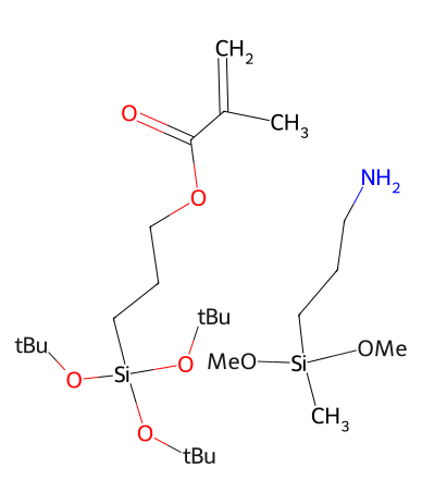 C=C(C)C(=O)OCCC[Si](OC(C)(C)C)(OC(C)(C)C)OC(C)(C)C.CO[Si](C)(CCCN)OC